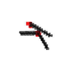 CCCCCCCCCCCCCCCCCC(=O)O.CCCCCCCCCCCCOS(=O)(=O)OCCCCCCCCCCCC